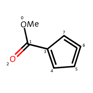 COC(=O)C1=CC=C=C1